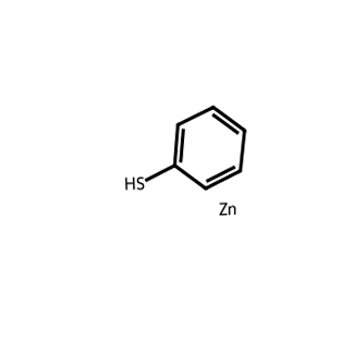 Sc1ccccc1.[Zn]